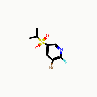 CC(C)S(=O)(=O)c1cnc(F)c(Br)c1